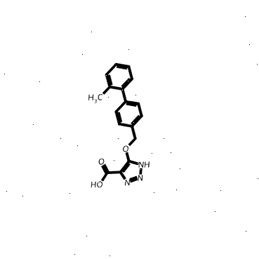 Cc1ccccc1-c1ccc(COc2[nH]nnc2C(=O)O)cc1